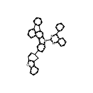 C1=CC(c2ccc3c(c2)c2c4cccc5c4c(cc2n3-c2nc(-c3ccccc3)c3ccccc3n2)-c2ccccc2-5)Cc2c1oc1ccccc21